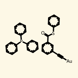 O=C(Sc1ccccc1)c1cccc(C#[C][Au])c1.c1ccc(P(c2ccccc2)c2ccccc2)cc1